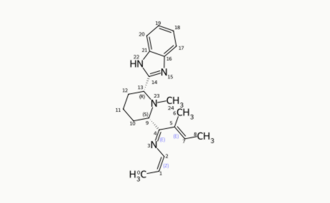 C\C=C/N=C(\C(C)=C\C)[C@@H]1CCC[C@H](c2nc3ccccc3[nH]2)N1C